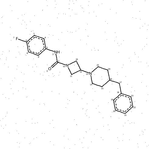 O=C(Nc1ccc(F)cc1)N1CC(N2CCC(Cc3ccccc3)CC2)C1